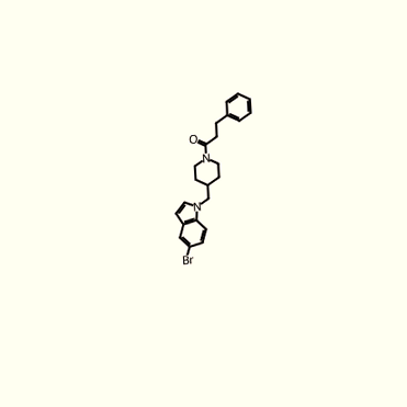 O=C(CCc1ccccc1)N1CCC(Cn2ccc3cc(Br)ccc32)CC1